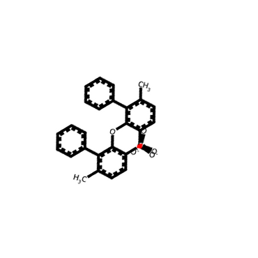 Cc1ccc([N+](=O)[O-])c(Oc2c([N+](=O)[O-])ccc(C)c2-c2ccccc2)c1-c1ccccc1